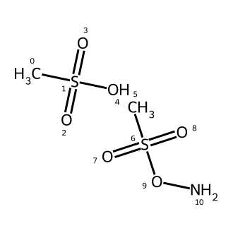 CS(=O)(=O)O.CS(=O)(=O)ON